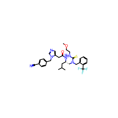 COCCNC(=S)N(Cc1ccccc1C(F)(F)F)C[C@H](CC(C)C)NC(=O)Cc1cncn1Cc1ccc(C#N)cc1